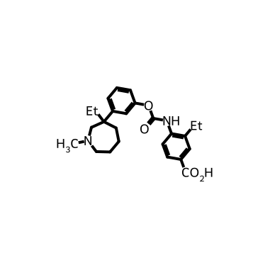 CCc1cc(C(=O)O)ccc1NC(=O)Oc1cccc(C2(CC)CCCCN(C)C2)c1